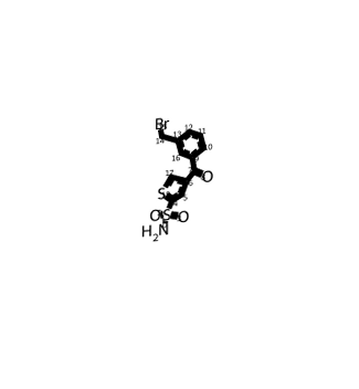 NS(=O)(=O)c1cc(C(=O)c2cccc(CBr)c2)cs1